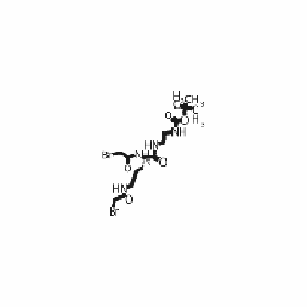 CC(C)(C)OC(=O)NCCNC(=O)[C@H](CCCNC(=O)CBr)NC(=O)CBr